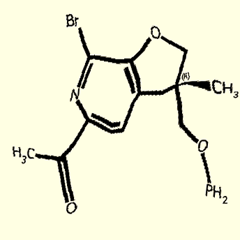 CC(=O)c1cc2c(c(Br)n1)OC[C@]2(C)COP